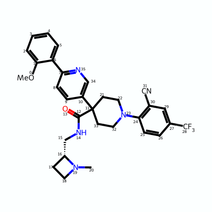 COc1ccccc1-c1ccc(C2(C(=O)NC[C@H]3CCN3C)CCN(c3ccc(C(F)(F)F)cc3C#N)CC2)cn1